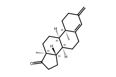 C=C1C=C2CC[C@@H]3[C@@H](CC[C@]4(C)C(=O)CC[C@@H]34)[C@@]2(C)CC1